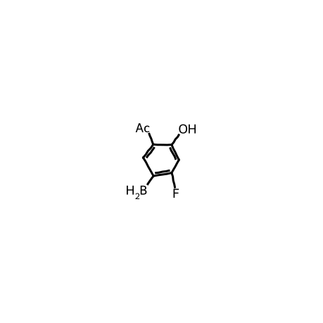 Bc1cc(C(C)=O)c(O)cc1F